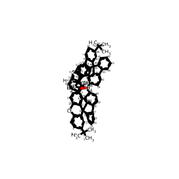 CC(C)(C)c1ccc2c(c1)C1(c3cc(C(C)(C)C)ccc3O2)c2ccccc2-c2ccc(N(c3ccc4c(c3)C3(c5ccccc5-4)c4cc(C(C)(C)C)ccc4-c4ccc(C(C)(C)C)cc43)c3cccc4sc5ccccc5c34)cc21